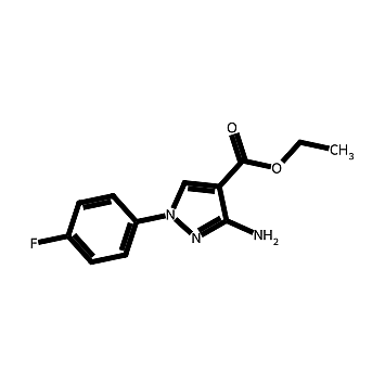 CCOC(=O)c1cn(-c2ccc(F)cc2)nc1N